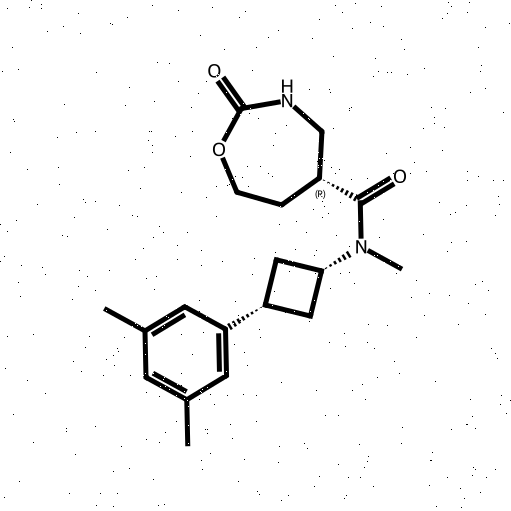 Cc1cc(C)cc([C@H]2C[C@@H](N(C)C(=O)[C@@H]3CCOC(=O)NC3)C2)c1